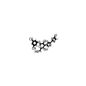 N#Cc1cc(Cl)cc(SC2OC(CO)C(O)C(n3cc(-c4nc(Cl)cs4)nn3)C2O)c1